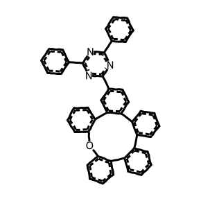 c1ccc(-c2nc(-c3ccccc3)nc(-c3ccc4c(c3)-c3ccccc3Oc3ccccc3-c3ccccc3-c3ccccc3-4)n2)cc1